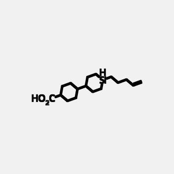 C=CCCC[SiH]1CCC(C2CCC(C(=O)O)CC2)CC1